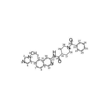 Cn1cncc1-c1ccc2cnc(NC(=O)C3CCN(C(=O)c4ccccc4)CC3)cc2c1